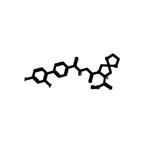 COC(=O)[C@@H]1CC2(CN1C(=O)CNC(=O)c1ccc(-c3ccc(F)cc3F)cc1)OCCO2